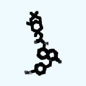 COc1ccc(Cn2c(=O)ccc3c(NC(=O)CC4(C)CC5CC(C)(C)CC(C)(C5)C4)cccc32)cc1